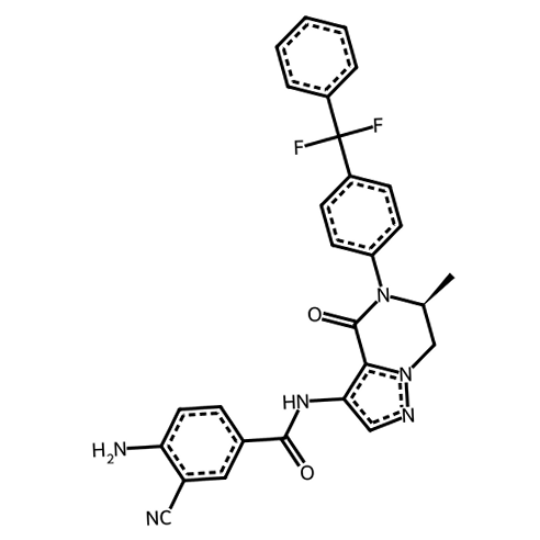 C[C@H]1Cn2ncc(NC(=O)c3ccc(N)c(C#N)c3)c2C(=O)N1c1ccc(C(F)(F)c2ccccc2)cc1